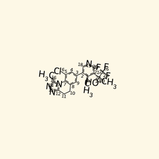 Cc1c(-c2cc(Cl)c3c(c2)CCc2nnc(C)n2-3)cncc1C(C)(O)C(F)(F)F